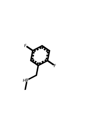 CBCc1cc(F)ccc1F